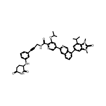 CC(C)Oc1cc(-c2cc3cccc(-c4cc(C(C)C)c5c(c4)n(C)c(=O)n5C)c3cn2)cnc1C(=O)NCC#Cc1cccc(NC2CCC(=O)NC2=O)c1